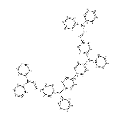 C(=NN(c1ccccc1)c1ccccc1)c1ccc(N(c2ccccc2)c2ccc(-c3ccc(N(c4ccccc4)c4ccc(C=NN(c5ccccc5)c5ccccc5)cc4)cc3)cc2)cc1